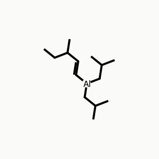 CCC(C)/C=[CH]/[Al]([CH2]C(C)C)[CH2]C(C)C